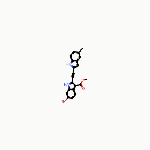 COC(=O)c1c(C#Cc2cc3cc(C)ccc3[nH]2)[nH]c2cc(Br)ccc12